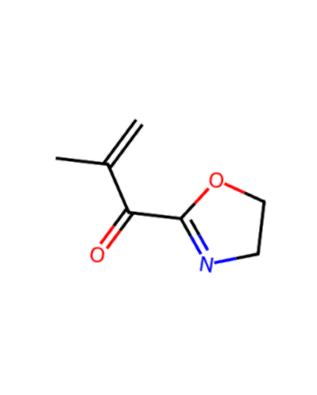 C=C(C)C(=O)C1=NCCO1